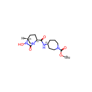 CC(C)(C)OC(=O)N1CCC[C@H](NC(=O)[C@@H]2CC[C@@H]3CN2C(=O)N3O)CC1